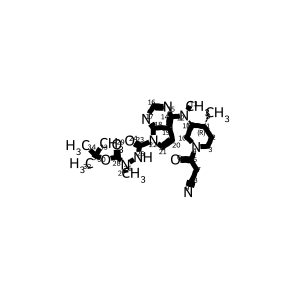 C[C@@H]1CCN(C(=O)CC#N)C[C@@H]1N(C)c1ncnc2c1ccn2C(=O)NN(C)C(=O)OC(C)(C)C